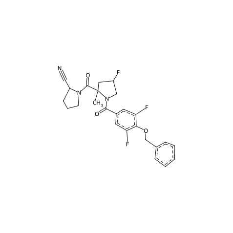 CC1(C(=O)N2CCCC2C#N)CC(F)CN1C(=O)c1cc(F)c(OCc2ccccc2)c(F)c1